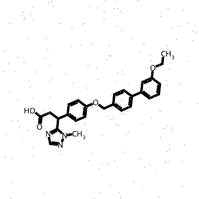 CCOc1cccc(-c2ccc(COc3ccc(C(CC(=O)O)c4ncnn4C)cc3)cc2)c1